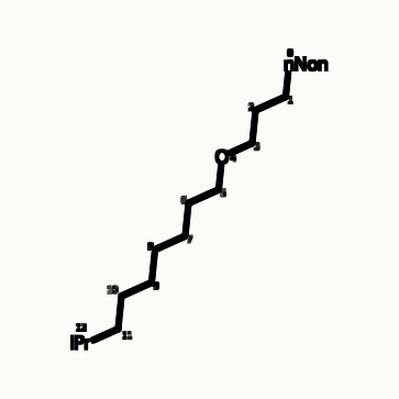 CCCCCCCCCCCCOCCCCCCCC(C)C